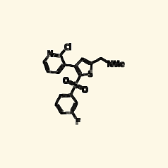 CNCc1cc(-c2cccnc2Cl)c(S(=O)(=O)c2cccc(F)c2)s1